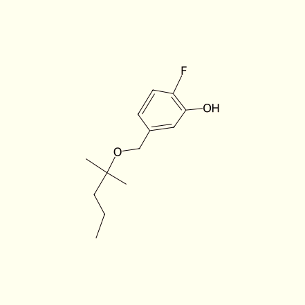 CCCC(C)(C)OCc1ccc(F)c(O)c1